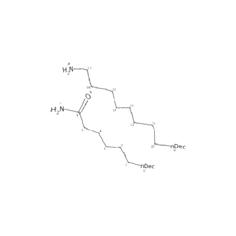 CCCCCCCCCCCCCCCC(N)=O.CCCCCCCCCCCCCCCCCCN